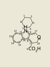 C1CCCCC1.O=C(O)C1=c2c([nH]c3ccccc23)=COC1